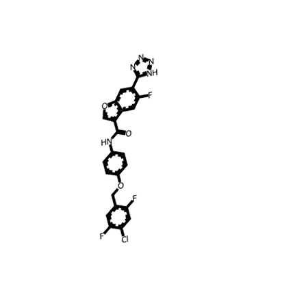 O=C(Nc1ccc(OCc2cc(F)c(Cl)cc2F)cc1)c1coc2cc(-c3nnn[nH]3)c(F)cc12